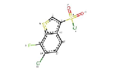 O=S(=O)(Cl)c1csc2c(F)c(Cl)ccc12